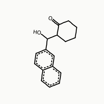 O=C1CCCCC1C(O)c1ccc2ccccc2c1